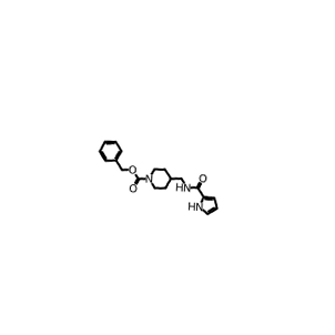 O=C(NCC1CCN(C(=O)OCc2ccccc2)CC1)c1ccc[nH]1